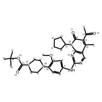 COc1cc(Nc2ncc3c(C)c(C(C)=O)c(=O)n(C4CCCC4)c3n2)ccc1N1CCN(C(=O)OC(C)(C)C)CC1